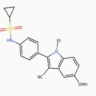 CCn1c(-c2ccc(NS(=O)(=O)C3CC3)cc2)c(C#N)c2cc(OC)ccc21